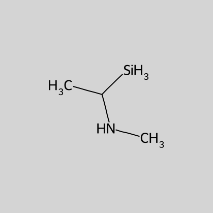 CNC(C)[SiH3]